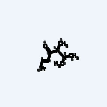 CC(C)C=CC(=O)N(C)N(C)C